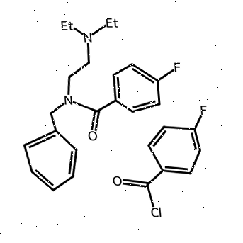 CCN(CC)CCN(Cc1ccccc1)C(=O)c1ccc(F)cc1.O=C(Cl)c1ccc(F)cc1